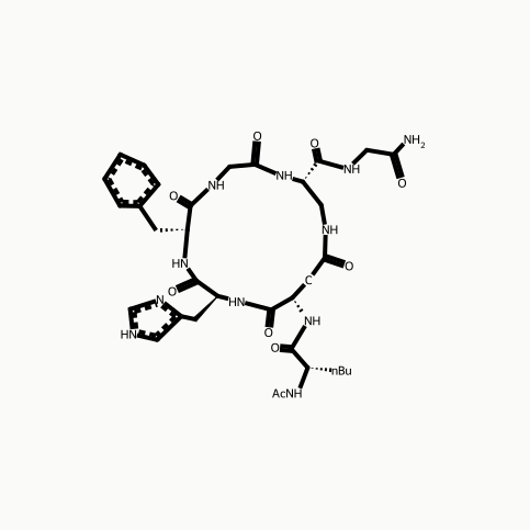 CCCC[C@H](NC(C)=O)C(=O)N[C@H]1CC(=O)NC[C@@H](C(=O)NCC(N)=O)NC(=O)CNC(=O)[C@@H](Cc2ccccc2)NC(=O)[C@H](Cc2c[nH]cn2)NC1=O